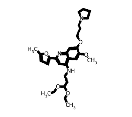 CCOC(CCNc1cc(-c2ccc(C)o2)nc2cc(OCCCN3CCCC3)c(OC)cc12)OCC